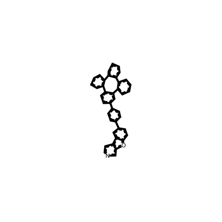 c1ccc2c(c1)-c1ccccc1-c1ccc(-c3ccc(-c4ccc5oc6cnccc6c5c4)cc3)cc1-c1ccccc1-2